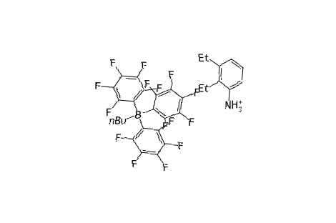 CCCC[B-](c1c(F)c(F)c(F)c(F)c1F)(c1c(F)c(F)c(F)c(F)c1F)c1c(F)c(F)c(F)c(F)c1F.CCc1cccc([NH3+])c1CC